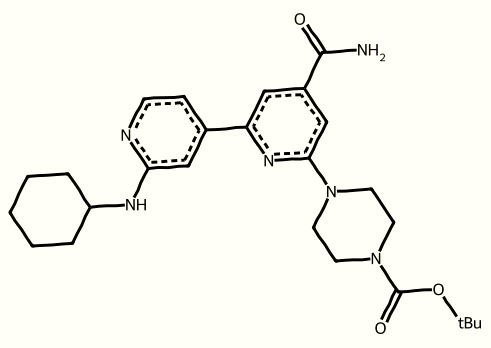 CC(C)(C)OC(=O)N1CCN(c2cc(C(N)=O)cc(-c3ccnc(NC4CCCCC4)c3)n2)CC1